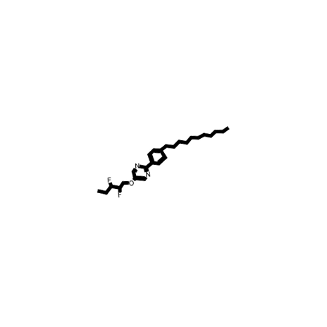 CCCCCCCCCCCc1ccc(-c2ncc(OCC(F)C(F)CC)cn2)cc1